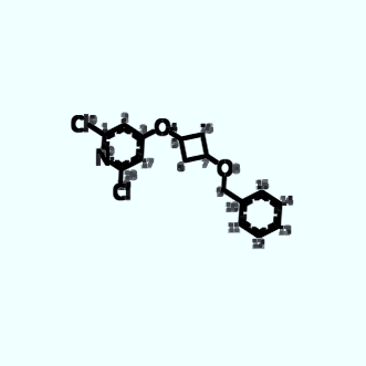 Clc1cc(OC2CC(OCc3ccccc3)C2)cc(Cl)n1